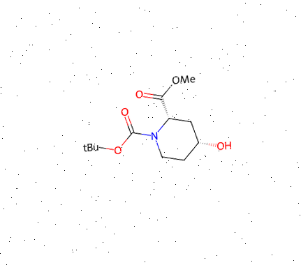 COC(=O)[C@@H]1C[C@H](O)CCN1C(=O)OC(C)(C)C